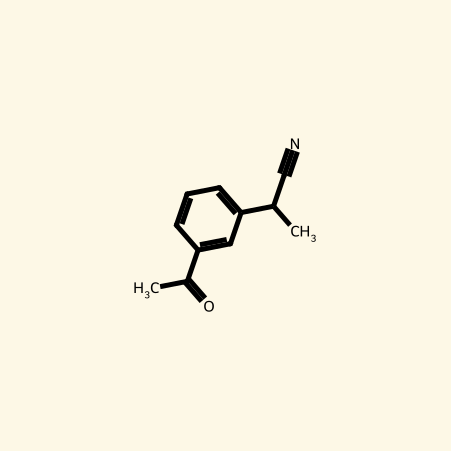 CC(=O)c1cccc(C(C)C#N)c1